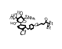 CCN(CC)C(=O)CCCOc1ccc(Cc2cc([C@@H]3O[C@H](SC)[C@@H](O)[C@H](O)[C@H]3O)ccc2Cl)cc1